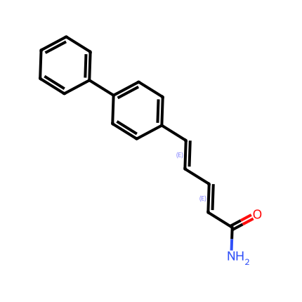 NC(=O)/C=C/C=C/c1ccc(-c2ccccc2)cc1